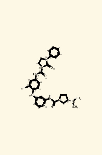 CN(C)[C@H]1CCN(C(=O)Nc2cc(Oc3ccc(NC(=O)N4CCN(c5ccccc5)C4=O)cc3F)ccn2)C1